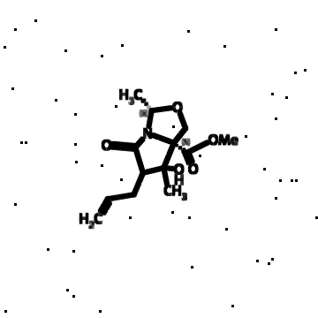 C=CCC1C(=O)N2[C@H](C)OC[C@@]2(C(=O)OC)C1(C)O